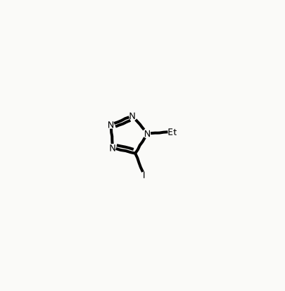 CCn1nnnc1I